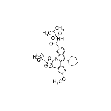 COc1ccc2c(c1)C1CC1(S(=O)(=O)N1CCN3CCC1CC3)Cn1c-2c(C2CCCCC2)c2ccc(C(=O)NS(=O)(=O)C(C)C)cc21